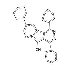 N#Cc1c2c(-c3ccccc3)nnc(-c3ccccc3)c2c2cc(-c3ccccc3)ccn12